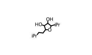 CC(C)CCC1OC(C(C)C)C(O)C1O